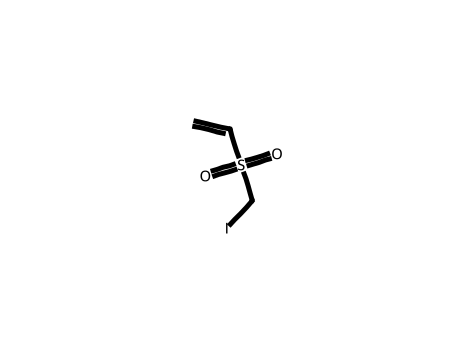 C=CS(=O)(=O)CI